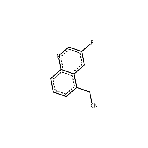 N#CCc1cccc2ncc(F)cc12